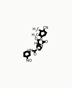 Cc1c(C#N)ccc(N2C(=O)[C@@H]3C4CC(CN4C(=O)Nc4cccc(N=O)c4)N3C2=O)c1C